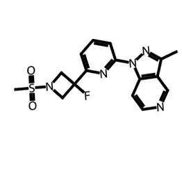 Cc1nn(-c2cccc(C3(F)CN(S(C)(=O)=O)C3)n2)c2ccncc12